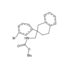 CC(C)(C)OC(=O)NCC1(c2cccc(Br)c2)CCc2ccccc2C1